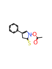 CC(=O)ON1C=C(c2ccccc2)CC1=S